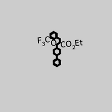 CCOC(=O)C(Cc1cccc(C(F)(F)F)c1)C(=O)C1CCC(c2ccccc2)CC1